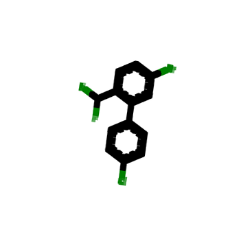 FC(F)c1ccc(Br)cc1-c1ccc(Cl)cc1